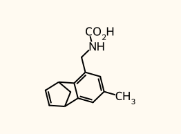 Cc1cc(CNC(=O)O)c2c(c1)C1C=CC2C1